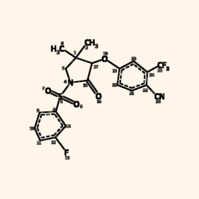 CC1(C)CN(S(=O)(=O)c2cccc(F)c2)C(=O)C1Oc1ccc(C#N)c(C(F)(F)F)c1